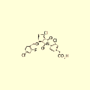 O=C(O)Cc1ccc(N2C(=O)c3c(Cl)ccc(OCc4ccc(Cl)cc4F)c3C2=O)c(Cl)c1